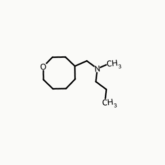 CCCN(C)CC1CCCCOCC1